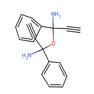 C#CC(N)(OC(N)(C#C)c1ccccc1)c1ccccc1